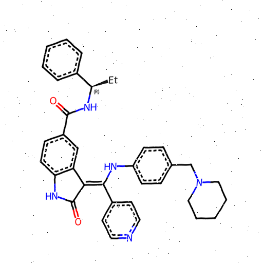 CC[C@@H](NC(=O)c1ccc2c(c1)C(=C(Nc1ccc(CN3CCCCC3)cc1)c1ccncc1)C(=O)N2)c1ccccc1